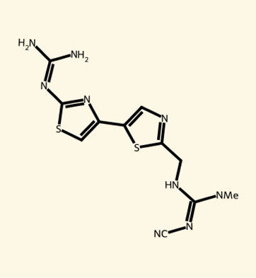 CN/C(=N/C#N)NCc1ncc(-c2csc(N=C(N)N)n2)s1